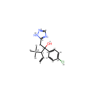 C=CC(C(O)(Cc1ncn[nH]1)c1ccc(Cl)cc1)[Si](C)(C)C